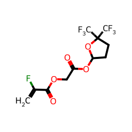 C=C(F)C(=O)OCC(=O)OC1CCC(C(F)(F)F)(C(F)(F)F)O1